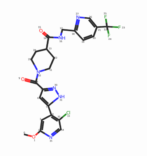 COc1cc(-c2cc(C(=O)N3CCC(C(=O)NCc4ccc(C(F)(F)F)cn4)CC3)n[nH]2)c(Cl)cn1